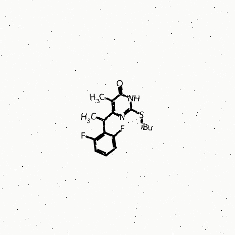 CCC(C)Sc1nc(C(C)c2c(F)cccc2F)c(C)c(=O)[nH]1